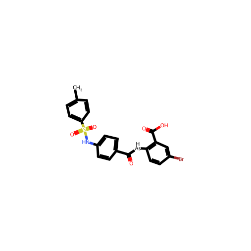 Cc1ccc(S(=O)(=O)Nc2ccc(C(=O)[AsH]c3ccc(Br)cc3C(=O)O)cc2)cc1